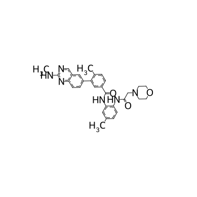 CNc1ncc2cc(-c3cc(C(=O)Nc4cc(C)ccc4NC(=O)CN4CCOCC4)ccc3C)ccc2n1